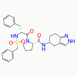 O=C(NC1CCc2n[nH]cc2C1)[C@@H]1CCCN1C(=O)[C@@H](Cc1ccccc1)NS(=O)(=O)Cc1ccccc1